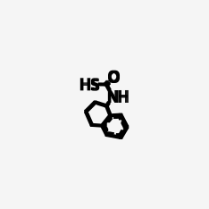 O=C(S)NC1CCCc2ccccc21